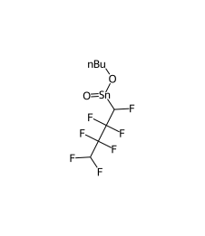 CCCC[O][Sn](=[O])[CH](F)C(F)(F)C(F)(F)C(F)F